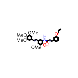 C=CCOc1cccc(/C=C/C(=O)Nc2cc(/C=C/c3cc(OC)c(OC)c(OC)c3)cc(OC)c2O)c1